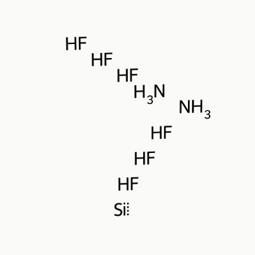 F.F.F.F.F.F.N.N.[Si]